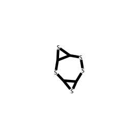 S1SC2SC2SC2SC12